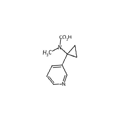 CN(C(=O)O)C1(c2cccnc2)CC1